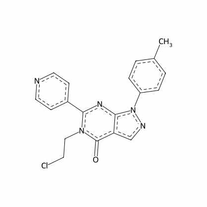 Cc1ccc(-n2ncc3c(=O)n(CCCl)c(-c4ccncc4)nc32)cc1